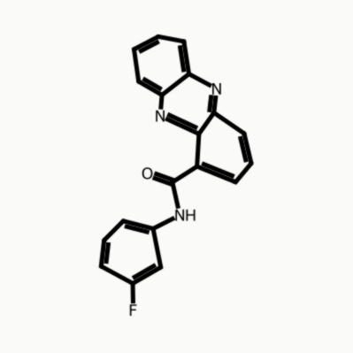 O=C(Nc1cccc(F)c1)c1cccc2nc3ccccc3nc12